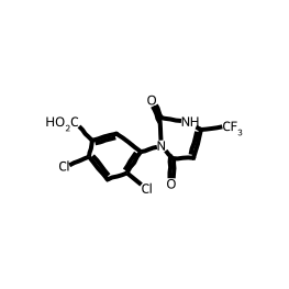 O=C(O)c1cc(-n2c(=O)cc(C(F)(F)F)[nH]c2=O)c(Cl)cc1Cl